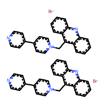 [Br-].[Br-].c1ccc2c(C[n+]3ccc(-c4ccncc4)cc3)c3ccccc3nc2c1.c1ccc2c(C[n+]3ccc(-c4ccncc4)cc3)c3ccccc3nc2c1